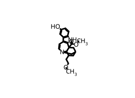 COCCC1CC2CN3C=Cc4c([nH]c5ccc(O)cc45)C(C(=O)OC)(C2)C13